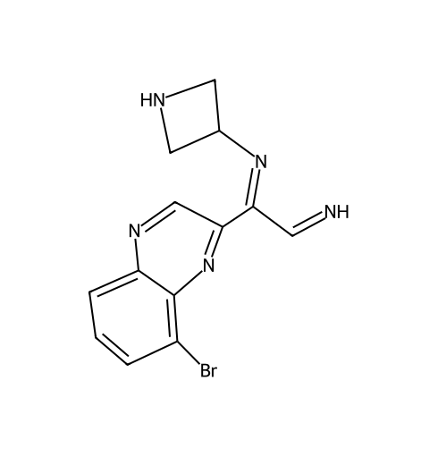 N=C/C(=N/C1CNC1)c1cnc2cccc(Br)c2n1